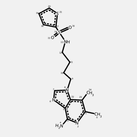 Cc1nc(N)c2ncn(CCCCNS(=O)(=O)c3cccs3)c2c1C